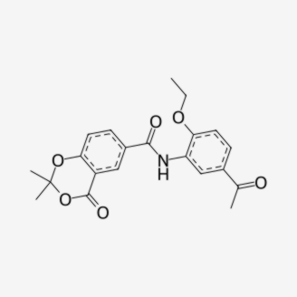 CCOc1ccc(C(C)=O)cc1NC(=O)c1ccc2c(c1)C(=O)OC(C)(C)O2